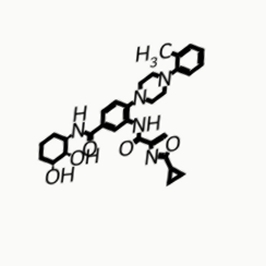 Cc1ccccc1N1CCN(c2ccc(C(=O)N[C@@H]3CCC[C@@H](O)[C@@H]3O)cc2NC(=O)c2coc(C3CC3)n2)CC1